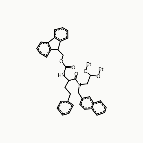 CCOC(CN(Cc1ccc2ccccc2c1)C(=O)C(CCc1ccccc1)NC(=O)OCC1c2ccccc2-c2ccccc21)OCC